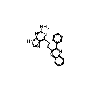 Nc1nc(SCc2nc3ccccc3nc2-c2ccccc2)c2nc[nH]c2n1